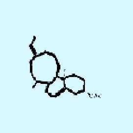 C/C=C1\CCCC2C(CC=C3C[C@@H](OC(C)=O)CC[C@@]32C)C(C)CC1